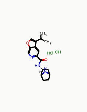 CC(C)c1coc2cnc(C(=O)N[C@@H]3CC4CCC3N4)cc12.Cl.Cl